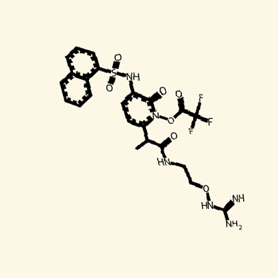 CC(C(=O)NCCONC(=N)N)c1ccc(NS(=O)(=O)c2cccc3ccccc23)c(=O)n1OC(=O)C(F)(F)F